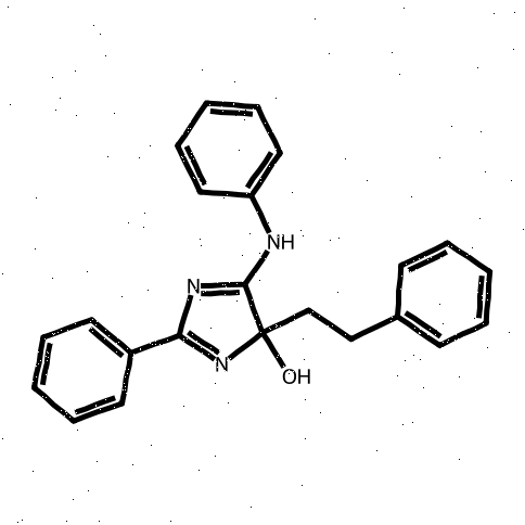 OC1(CCc2ccccc2)N=C(c2ccccc2)N=C1Nc1ccccc1